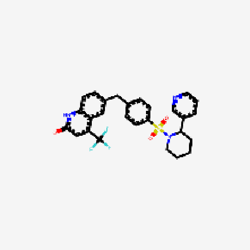 O=c1cc(C(F)(F)F)c2cc(Cc3ccc(S(=O)(=O)N4CCCCC4c4cccnc4)cc3)ccc2[nH]1